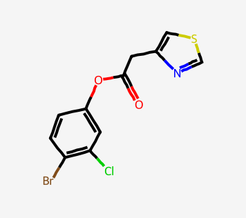 O=C(Cc1cscn1)Oc1ccc(Br)c(Cl)c1